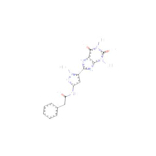 Cn1nc(NC(=O)Cc2ccccc2)cc1-c1nc2c(=O)n(C)c(=O)n(C)c2[nH]1